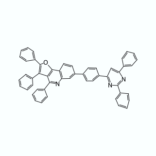 c1ccc(-c2cc(-c3ccc(-c4ccc5c(c4)nc(-c4ccccc4)c4c(-c6ccccc6)c(-c6ccccc6)oc45)cc3)nc(-c3ccccc3)n2)cc1